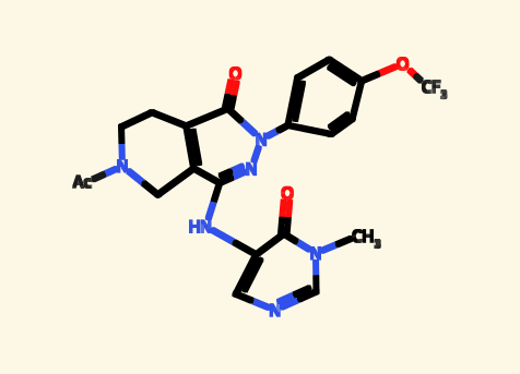 CC(=O)N1CCc2c(c(Nc3cncn(C)c3=O)nn(-c3ccc(OC(F)(F)F)cc3)c2=O)C1